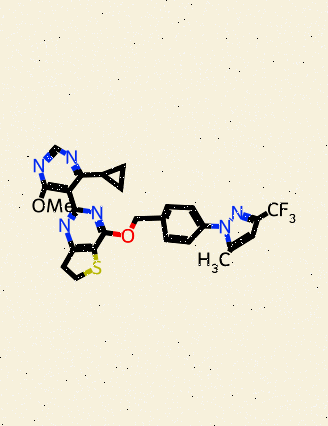 COc1ncnc(C2CC2)c1-c1nc2c(c(OCc3ccc(-n4nc(C(F)(F)F)cc4C)cc3)n1)SCC2